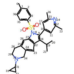 Cc1ccc(S(=O)(=O)n2c(-c3cc(C)nc(C)c3)c(C(C)C)c3cc4c(cc32)CCN(C2CC2)C4)cc1